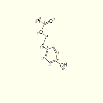 CC(C)C(=O)OCSc1ccc(O)cc1